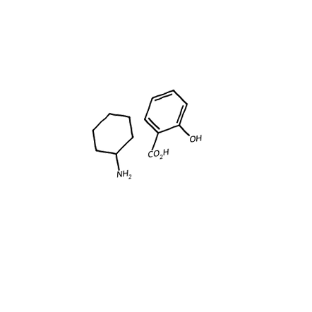 NC1CCCCC1.O=C(O)c1ccccc1O